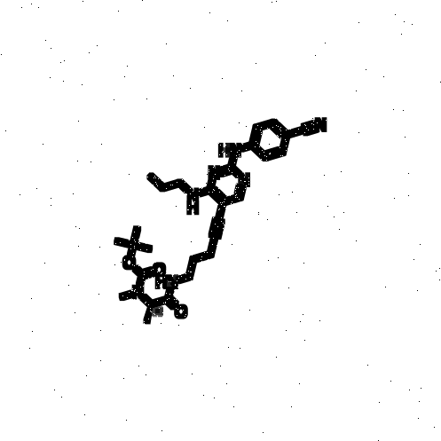 CCCNc1nc(Nc2ccc(C#N)cc2)ncc1C#CCCCNC(=O)[C@@H](C)N(C)C(=O)OC(C)(C)C